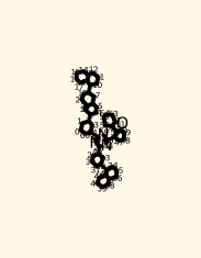 c1cc(-c2ccc3cc(-c4cccc5ccccc45)ccc3c2)cc(-c2nc(-c3cccc(-c4cccc5ccccc45)c3)nc(-c3cccc4oc5ccccc5c34)n2)c1